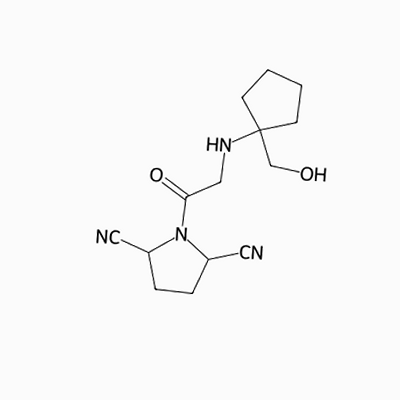 N#CC1CCC(C#N)N1C(=O)CNC1(CO)CCCC1